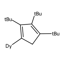 CC(C)(C)C1=C(C(C)(C)C)C(C(C)(C)C)=[C]([Dy])C1